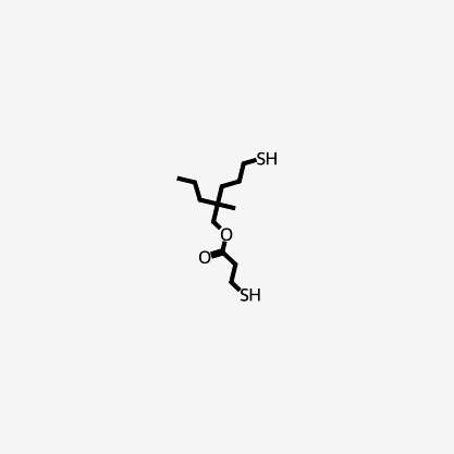 CCCC(C)(CCCS)COC(=O)CCS